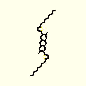 CCCCCCCCc1ccc(-c2cc3cc4cc(C)c(-c5ccc(CCCCCCCC)s5)cc4cc3cc2C)s1